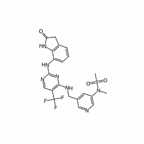 CN(c1cncc(CNc2nc(Nc3cccc4c3NC(=O)C4)ncc2C(F)(F)F)c1)S(C)(=O)=O